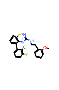 COc1ccccc1CCNC1=NSc2cccc(-c3cccc(F)c3Cl)c2N1